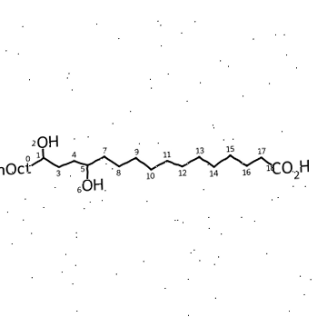 CCCCCCCCC(O)CCC(O)CCCCCCCCCCCC(=O)O